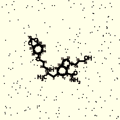 C[C@H](Cc1cc(C(N)=O)c2c(ccn2CCCO)c1)NCCOc1ccc2c(c1)OCO2